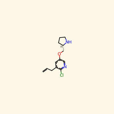 C=CCc1cc(OC[C@@H]2CCCN2)cnc1Cl